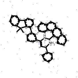 CC1(C)c2ccccc2-c2cccc(-c3cccc(/C(=C/C(N)c4ccccc4)NCc4c5ccccc5cc5ccc6ccccc6c45)c3)c21